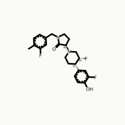 Cc1ccc(CN2CC[C@@H](N3CC[C@@H](c4ccc(O)c(F)c4)[C@@H](F)C3)C2=O)cc1F